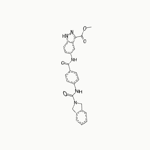 COC(=O)c1n[nH]c2ccc(NC(=O)c3ccc(NC(=O)N4Cc5ccccc5C4)cc3)cc12